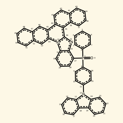 O=P(c1ccccc1)(c1ccc(-n2c3ccccc3c3ccccc32)cc1)c1cccc2c1nc1c3c4ccccc4ccc3c3cc4ccccc4cc3n21